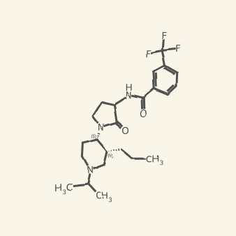 CCC[C@@H]1CN(C(C)C)CC[C@@H]1N1CCC(NC(=O)c2cccc(C(F)(F)F)c2)C1=O